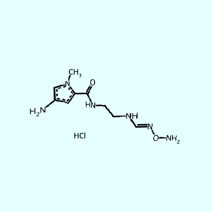 Cl.Cn1cc(N)cc1C(=O)NCCNC=NON